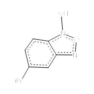 CC(C)c1ccc2c(c1)no[n+]2O